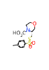 Cc1ccc(S(=O)(=O)SC[C@H]2COCCN2C(=O)O)cc1